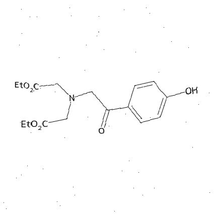 CCOC(=O)CN(CC(=O)OCC)CC(=O)c1ccc(O)cc1